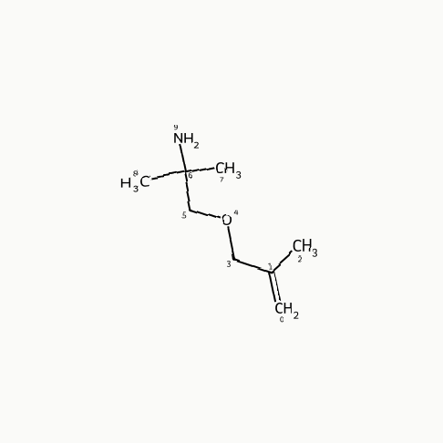 C=C(C)COCC(C)(C)N